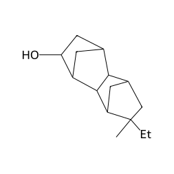 CCC1(C)CC2CC1C1C3CC(CC3O)C21